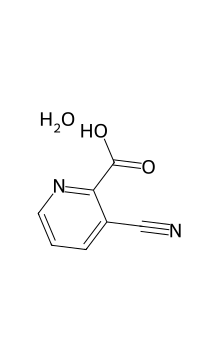 N#Cc1cccnc1C(=O)O.O